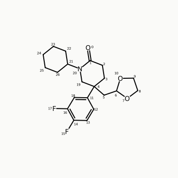 O=C1CCC(CC2OCCO2)(c2ccc(F)c(F)c2)CN1C1CCCCC1